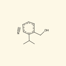 C#N.CC(C)c1ccccc1CO